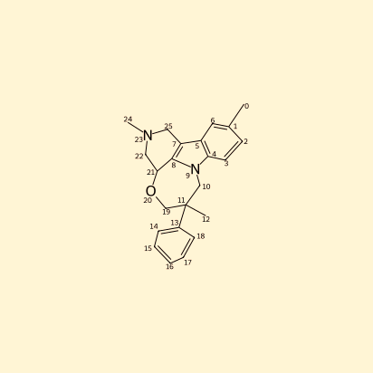 Cc1ccc2c(c1)c1c3n2CC(C)(c2ccccc2)COC3CN(C)C1